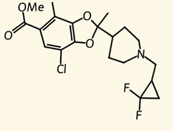 COC(=O)c1cc(Cl)c2c(c1C)OC(C)(C1CCN(CC3CC3(F)F)CC1)O2